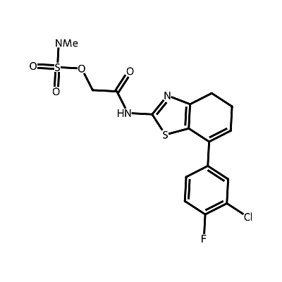 CNS(=O)(=O)OCC(=O)Nc1nc2c(s1)C(c1ccc(F)c(Cl)c1)=CCC2